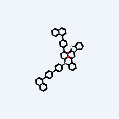 c1ccc(N(c2ccc(-c3ccc(-c4cccc5ccccc45)cc3)cc2)c2ccc(-c3ccc(-c4cccc5ccccc45)cc3)cc2)c(-c2ccc3sc4ccccc4c3c2)c1